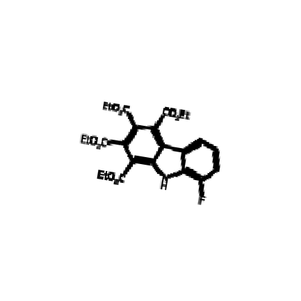 CCOC(=O)c1c(C(=O)OCC)c(C(=O)OCC)c2c([nH]c3c(F)cccc32)c1C(=O)OCC